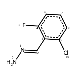 NN=Cc1c(F)cccc1Cl